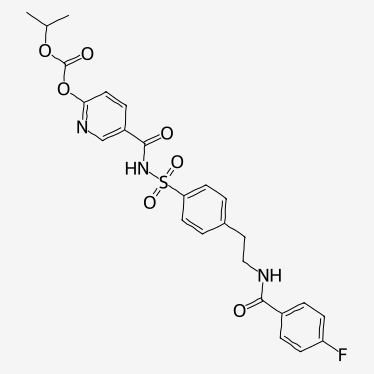 CC(C)OC(=O)Oc1ccc(C(=O)NS(=O)(=O)c2ccc(CCNC(=O)c3ccc(F)cc3)cc2)cn1